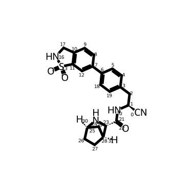 N#C[C@H](Cc1ccc(-c2ccc3c(c2)S(=O)(=O)NC3)cc1)NC(=O)[C@H]1N[C@@H]2CC[C@H]1C2